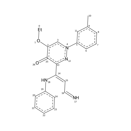 CCOc1cn(-c2cccc(C)c2)nc(/C(=C/C=N)Nc2ccccc2)c1=O